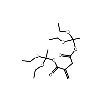 C=C(CC(=O)OC(C)(OCC)OCC)C(=O)OC(C)(OCC)OCC